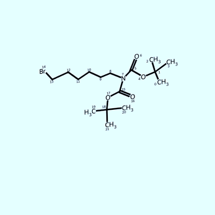 CC(C)(C)OC(=O)N(CCCCCCBr)C(=O)OC(C)(C)C